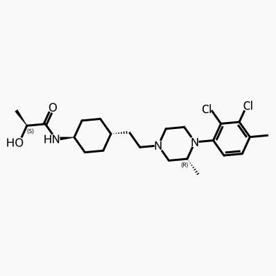 Cc1ccc(N2CCN(CC[C@H]3CC[C@H](NC(=O)[C@H](C)O)CC3)C[C@H]2C)c(Cl)c1Cl